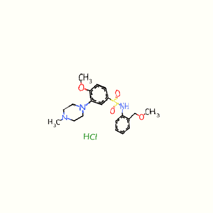 COCc1ccccc1NS(=O)(=O)c1ccc(OC)c(N2CCN(C)CC2)c1.Cl